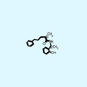 C[C@@H](CCCc1ccccc1)C(=O)N[C@H](C)c1ccccc1O